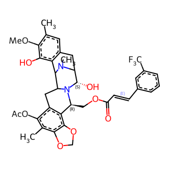 COc1c(C)cc2c(c1O)C1C3Cc4c(OC(C)=O)c(C)c5c(c4[C@H](COC(=O)/C=C/c4cccc(C(F)(F)F)c4)N3[C@@H](O)C(C2)N1C)OCO5